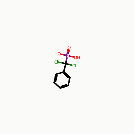 O=P(O)(O)C(Cl)(Cl)c1ccccc1